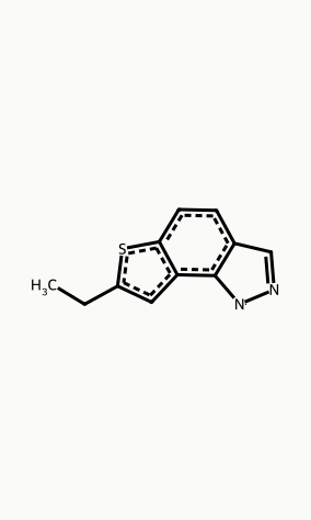 CCc1cc2c3c(ccc2s1)C=N[N]3